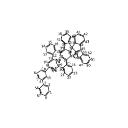 c1ccc(-c2cccc(-c3cc(-c4ccccc4)nc(-c4ccccc4-c4ccc5c(c4)C4(c6ccccc6-5)c5ccccc5-c5c4oc4ccccc54)n3)c2)cc1